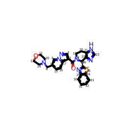 O=C(c1cnn2cc(CN3CCOCC3)ccc12)N1CCc2[nH]cnc2[C@H]1c1nc2ccccc2s1